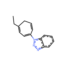 CCC1=CC=C(n2nnc3ccccc32)C=CC1